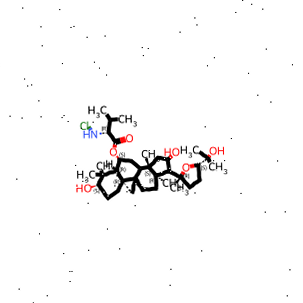 CC(C)[C@@H](NCl)C(=O)O[C@H]1CC2C3(CC[C@]4(C)C([C@@]5(C)CC[C@@H](C(C)(C)O)O5)C(O)C[C@@]24C)C[C@@]32CC[C@H](O)C(C)(C)[C@H]12